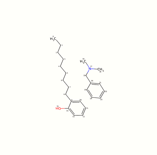 CCCCCCCCCc1ccccc1O.CN(C)Cc1ccccc1